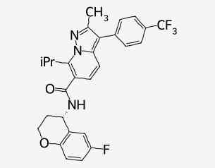 Cc1nn2c(C(C)C)c(C(=O)N[C@H]3CCOc4ccc(F)cc43)ccc2c1-c1ccc(C(F)(F)F)cc1